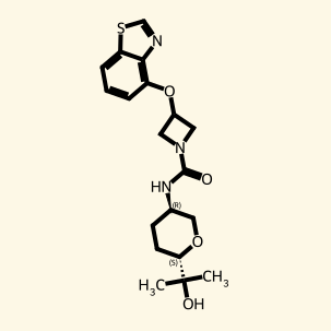 CC(C)(O)[C@@H]1CC[C@@H](NC(=O)N2CC(Oc3cccc4scnc34)C2)CO1